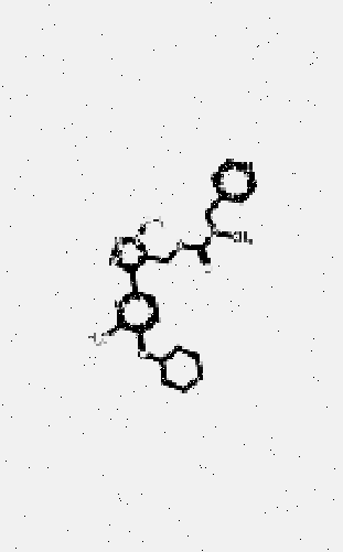 Cc1nc(-c2nnn(C)c2COC(=O)N(C)Cc2ccncc2)ccc1OC1CCCCC1